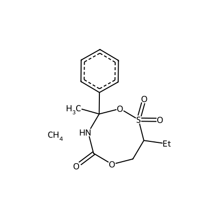 C.CCC1COC(=O)NC(C)(c2ccccc2)OS1(=O)=O